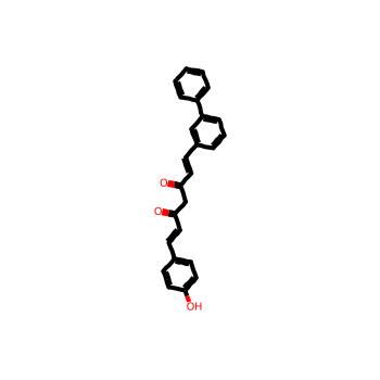 O=C(C=Cc1ccc(O)cc1)CC(=O)C=Cc1cccc(-c2ccccc2)c1